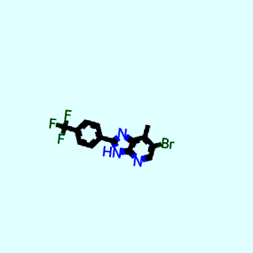 Cc1c(Br)cnc2[nH]c(-c3ccc(C(F)(F)F)cc3)nc12